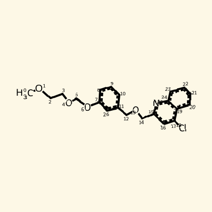 COCCOCOc1cccc(COCc2cc(Cl)c3ccccc3n2)c1